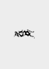 COc1cc(N)ccc1CN1CCN(S(C)(=O)=O)CC1